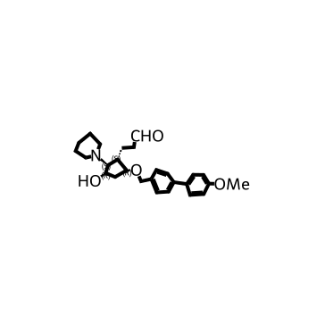 COc1ccc(-c2ccc(CO[C@@H]3C[C@@H](O)[C@@H](N4CCCCC4)[C@@H]3CCC=O)cc2)cc1